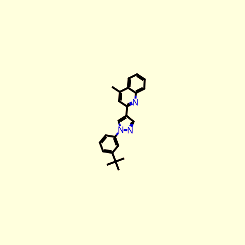 Cc1cc(-c2cnn(-c3cccc(C(C)(C)C)c3)c2)nc2ccccc12